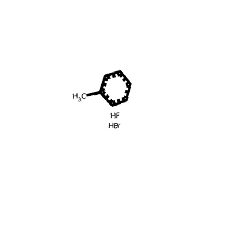 Br.Cc1ccccc1.F